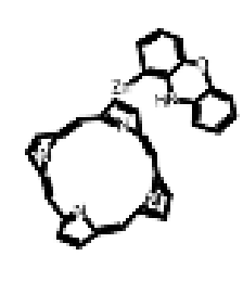 C1=Cc2cc3ccc(cc4nc(cc5ccc(cc1n2)[nH]5)C=C4)[nH]3.[Zn][c]1cccc2c1Nc1ccccc1O2